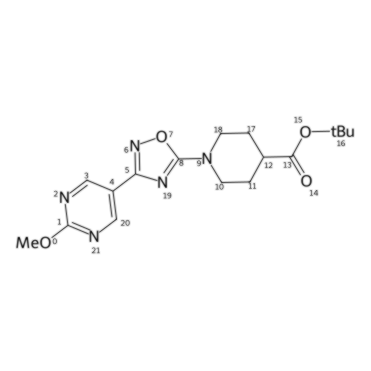 COc1ncc(-c2noc(N3CCC(C(=O)OC(C)(C)C)CC3)n2)cn1